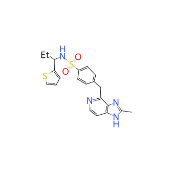 CCC(NS(=O)(=O)c1ccc(Cc2nccc3[nH]c(C)nc23)cc1)c1cccs1